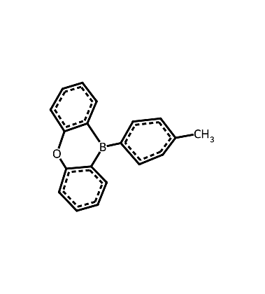 Cc1ccc(B2c3ccccc3Oc3ccccc32)cc1